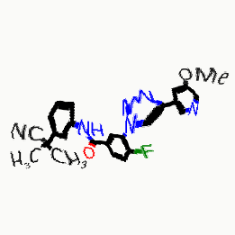 COc1cncc(-c2cn(-c3cc(C(=O)Nc4cccc(C(C)(C)C#N)c4)ccc3F)nn2)c1